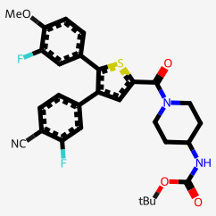 COc1ccc(-c2sc(C(=O)N3CCC(NC(=O)OC(C)(C)C)CC3)cc2-c2ccc(C#N)c(F)c2)cc1F